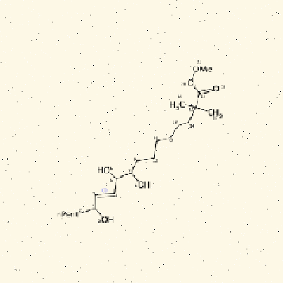 CCCCCC(O)/C=C/C(O)C(O)CCCCCCC(C)(C)C(=O)OOC